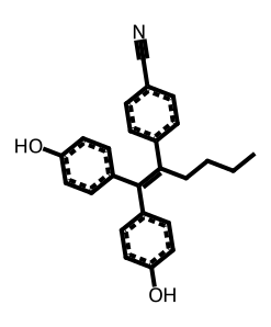 CCCCC(=C(c1ccc(O)cc1)c1ccc(O)cc1)c1ccc(C#N)cc1